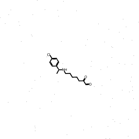 CC(NCCCCCC(=O)C=O)c1ccc(Cl)cc1